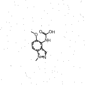 COc1ccc2c(cnn2C)c1NC(=O)O